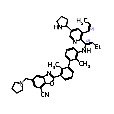 C/C=C\c1cc(C2CCCN2)cnc1/C(=C/CC)Nc1cccc(-c2cccc(-c3nc4cc(CN5CCCC5)cc(C#N)c4o3)c2C)c1C